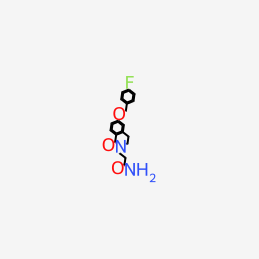 NC(=O)CCN1CCc2cc(OCc3ccc(F)cc3)ccc2C1=O